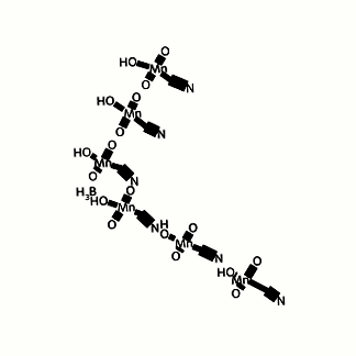 B.N#[C][Mn](=[O])(=[O])[OH].N#[C][Mn](=[O])(=[O])[OH].N#[C][Mn](=[O])(=[O])[OH].N#[C][Mn](=[O])(=[O])[OH].N#[C][Mn](=[O])(=[O])[OH].N#[C][Mn](=[O])(=[O])[OH]